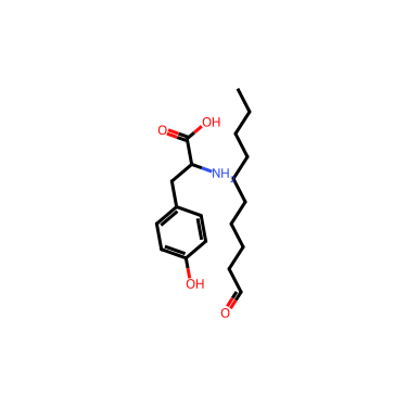 CCCCCCCCCC=O.NC(Cc1ccc(O)cc1)C(=O)O